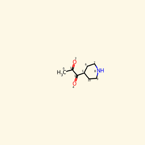 CC(=O)C(=O)C1CCNCC1